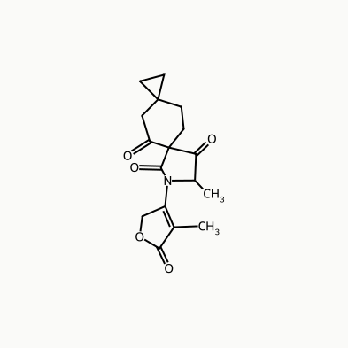 CC1=C(N2C(=O)C3(CCC4(CC4)CC3=O)C(=O)C2C)COC1=O